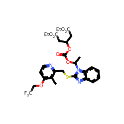 CCOC(=O)CC(CC(=O)OCC)OC(=O)OC(C)n1c(SCc2nccc(OCC(F)(F)F)c2C)nc2ccccc21